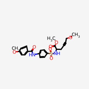 COCC#CCC(NS(=O)(=O)c1ccc(NC(=O)c2ccc(OC)cc2)cc1)C(=O)OC